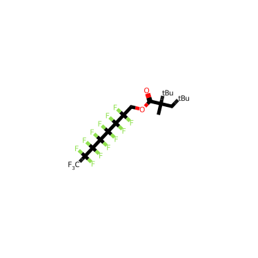 CC(C)(C)CC(C)(C(=O)OCC(F)(F)C(F)(F)C(F)(F)C(F)(F)C(F)(F)C(F)(F)C(F)(F)F)C(C)(C)C